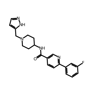 O=C(NC1CCN(Cc2ccn[nH]2)CC1)c1ccc(-c2cccc(F)c2)nc1